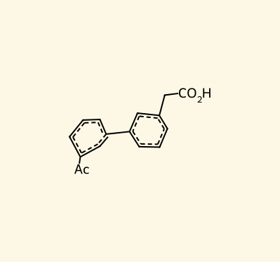 CC(=O)c1cccc(-c2cccc(CC(=O)O)c2)c1